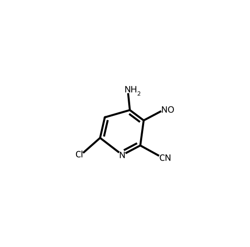 N#Cc1nc(Cl)cc(N)c1N=O